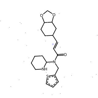 O=C(/C=C/C1CCC2OCOC2C1)N(Cc1cccs1)C1CCCCN1